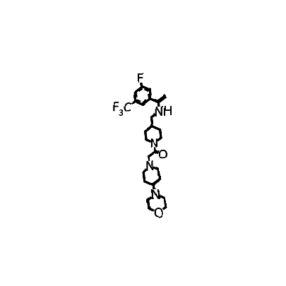 C=C(NCC1CCN(C(=O)CN2CCC(N3CCOCC3)CC2)CC1)c1cc(F)cc(C(F)(F)F)c1